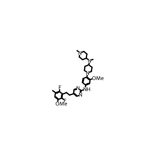 COc1cc(Nc2ncc(CCc3c(F)c(C)cc(OC)c3F)cn2)ccc1N1CCC(N(C)C2CCN(C)CC2)CC1